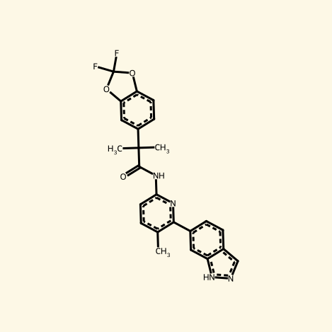 Cc1ccc(NC(=O)C(C)(C)c2ccc3c(c2)OC(F)(F)O3)nc1-c1ccc2cn[nH]c2c1